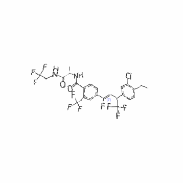 CCc1ccc(C(/C=C(\F)c2ccc(C(=O)NC(C)C(=O)NCC(F)(F)F)c(C(F)(F)F)c2)C(F)(F)F)cc1Cl